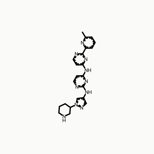 Cc1cccc(-c2nccc(Nc3ccnc(Nc4cnn(C5CCCNC5)c4)n3)n2)n1